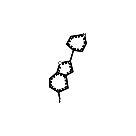 Fc1ccc2oc(-c3ccncc3)cc2c1